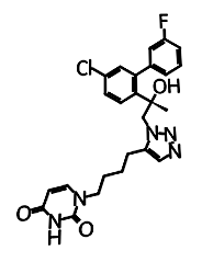 C[C@@](O)(Cn1nncc1CCCCn1ccc(=O)[nH]c1=O)c1ccc(Cl)cc1-c1cccc(F)c1